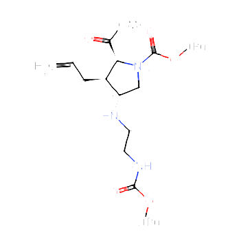 C=CC[C@@H]1[C@@H](NCCNC(=O)OC(C)(C)C)CN(C(=O)OC(C)(C)C)[C@@H]1C(=O)OC